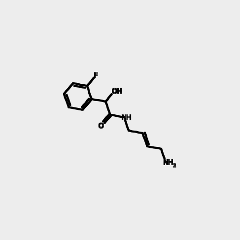 NC/C=C/CNC(=O)C(O)c1ccccc1F